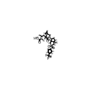 CC(CC(C)(C)C(=O)N(CC1CC1)[C@H]1CC[C@@H]2CN(S(=O)(=O)c3ccc(C(F)(F)F)cc3)C[C@@H]21)N(C)C(=O)O